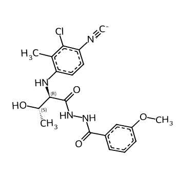 [C-]#[N+]c1ccc(N[C@@H](C(=O)NNC(=O)c2cccc(OC)c2)[C@H](C)O)c(C)c1Cl